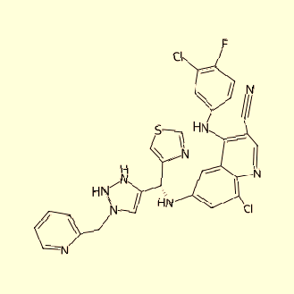 N#Cc1cnc2c(Cl)cc(N[C@H](C3=CN(Cc4ccccn4)NN3)c3cscn3)cc2c1Nc1ccc(F)c(Cl)c1